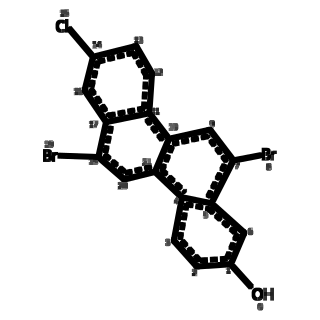 Oc1ccc2c(c1)c(Br)cc1c3ccc(Cl)cc3c(Br)cc21